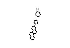 C1=CC=CNC=C1.Fc1ccc(C2=Cc3ccc4c(c3CC2)CCc2ccccc2-4)cc1